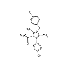 COC(=O)c1c(-c2ccc(C#N)cc2)c(C)n(Cc2ccc(F)nc2)c1C